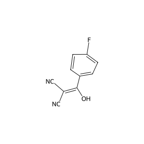 N#CC(C#N)=C(O)c1ccc(F)cc1